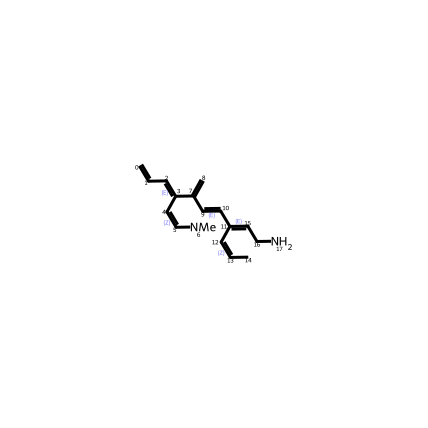 C=C/C=C(\C=C/NC)C(=C)/C=C/C(/C=C\C)=C/CN